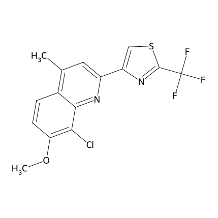 COc1ccc2c(C)cc(-c3csc(C(F)(F)F)n3)nc2c1Cl